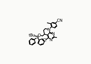 Cc1nc(Cl)c2c(n1)N(c1ccc(C#N)cc1C)CCC2CO[Si](c1ccccc1)(c1ccccc1)C(C)(C)C